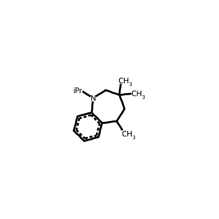 CC1CC(C)(C)CN(C(C)C)c2ccccc21